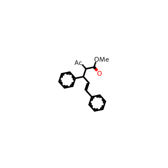 COC(=O)C(C(C)=O)C(/C=C/c1ccccc1)c1ccccc1